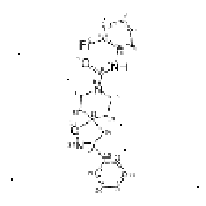 CC(C)c1ccccc1NC(=O)N1CCC2(CC1)CC(c1ccccc1)=NO2